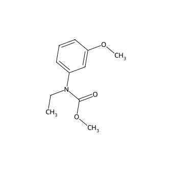 CCN(C(=O)OC)c1cccc(OC)c1